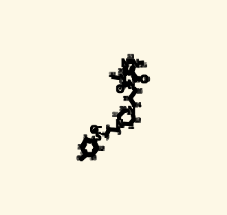 Cc1ccc([S+]([O-])CCCN2CCN(CCCn3c(=O)c4c(ncn4C)n(C)c3=O)CC2)cc1